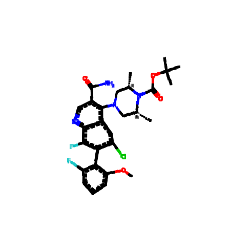 COc1cccc(F)c1-c1c(Cl)cc2c(N3C[C@@H](C)N(C(=O)OC(C)(C)C)[C@@H](C)C3)c(C(N)=O)cnc2c1F